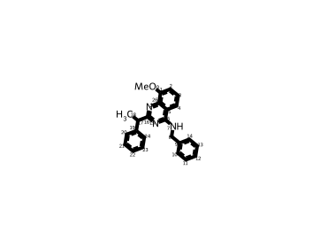 COc1cccc2c(NCc3ccccc3)nc(C(C)c3ccccc3)nc12